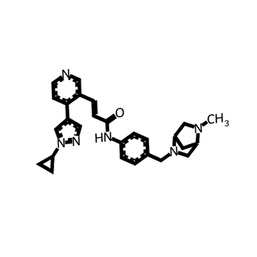 CN1CC2CC1CN2Cc1ccc(NC(=O)C=Cc2cnccc2-c2cnn(C3CC3)c2)cc1